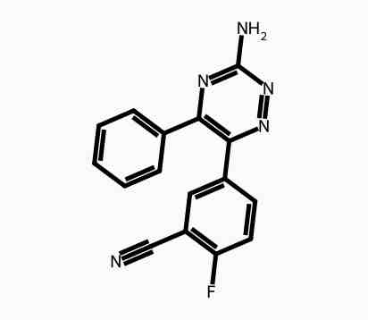 N#Cc1cc(-c2nnc(N)nc2-c2ccccc2)ccc1F